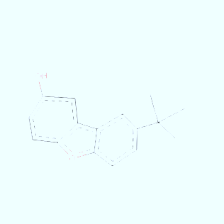 CC(C)(C)c1ccc2oc3ccc(O)cc3c2c1